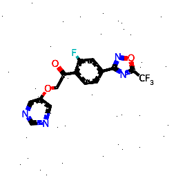 O=C(COc1cncnc1)c1ccc(-c2noc(C(F)(F)F)n2)cc1F